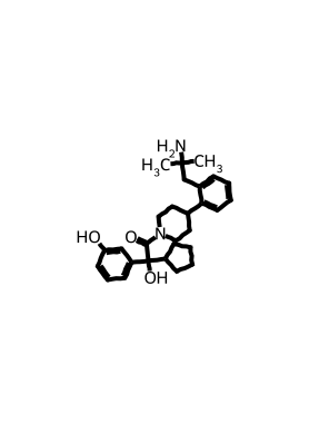 CC(C)(N)Cc1ccccc1C1CCN(C(=O)C(O)(c2cccc(O)c2)C2CCCC2)CC1